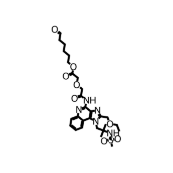 CCOCc1nc2c(NC(=O)COCC(=O)OCCCCCC=O)nc3ccccc3c2n1CC(C)(C)NS(C)(=O)=O